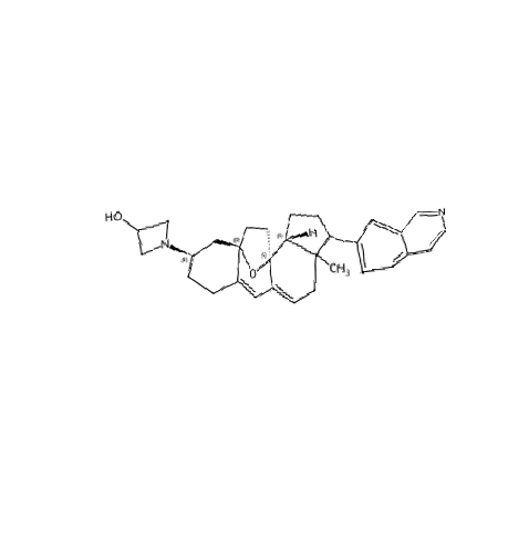 CC12CC=C3C=C4CC[C@@H](N5CC(O)C5)C[C@]45CC[C@]3(O5)[C@@H]1CCC2c1ccc2ccncc2c1